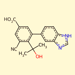 CC(C)(O)c1c(C#N)cc(C(=O)O)cc1-c1ccc2[nH]cnc2c1